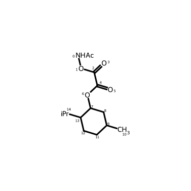 CC(=O)NOC(=O)C(=O)OC1CC(C)CCC1C(C)C